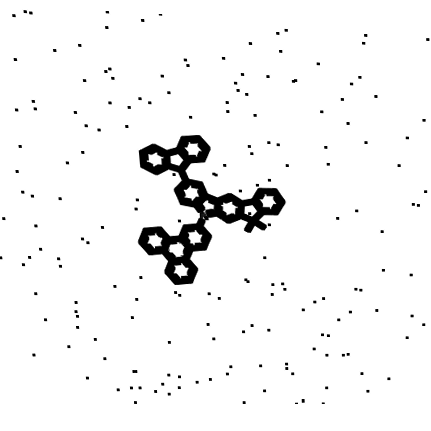 CC1(C)c2ccccc2-c2cc3c4cc(C5c6ccccc6-c6ccccc65)ccc4n(-c4ccc5c6ccccc6c6ccccc6c5c4)c3cc21